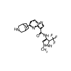 CN1C=C(NC(=O)c2cnn3ccc(N4C5CCC4CNC5)nc23)C(C(F)(F)F)N1